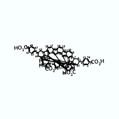 O=C(O)c1ccc(C2CC3c4ccc5c6ccc7c8ccc9c%10c%11c%12c%13c%14c%15c(c4c5c%14c6c7c%13c%108)C3(c3ccc(C(=O)O)cc3)[C@@H]3C2C2C(c4ccc(C(=O)O)cc4)CC9C%11(c4ccc(C(=O)O)cc4)[C@@H]2C3[C@]%15%12c2ccc(C(=O)O)cc2)cc1